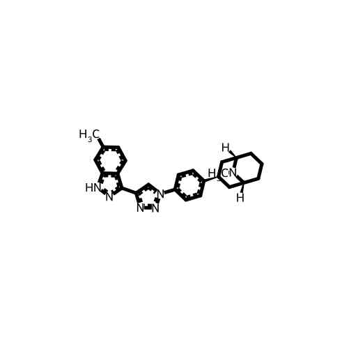 Cc1ccc2c(-c3cn(-c4ccc([C@@H]5C[C@H]6CCC[C@@H](C5)N6C)cc4)nn3)n[nH]c2c1